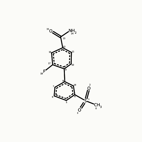 CS(=O)(=O)c1cccc(-c2ccc(C(N)=O)cc2F)c1